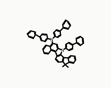 CC1(C)c2ccccc2-c2c1ccc1c3c4ccccc4c(N(c4ccc(-c5ccccc5)cc4)c4ccc(-c5ccccc5)cc4)cc3n(-c3ccc(-c4ccccc4)cc3)c21